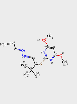 C=CCNN=CC(Sc1nc(OC)cc(OC)n1)C(C)(C)C